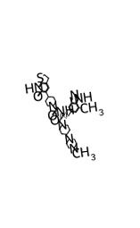 Cc1cc(C[C@@H](NC(=O)N2CCC(c3cc4c([nH]c3=O)SCC4)CC2)C(=O)N2CCC(N3CCN(C)CC3)CC2)cc2cn[nH]c12